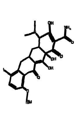 CCCCOc1ccc(I)c2c1C(=O)C1=C(O)C3(O)C(=O)C(C(N)=O)=C(O)C(N(C)C)C3CC1C2